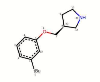 CC(C)(C)c1cccc(OC[C@H]2CCNC2)c1